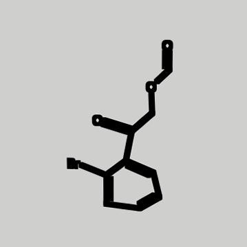 O=COCC(=O)c1ccccc1Br